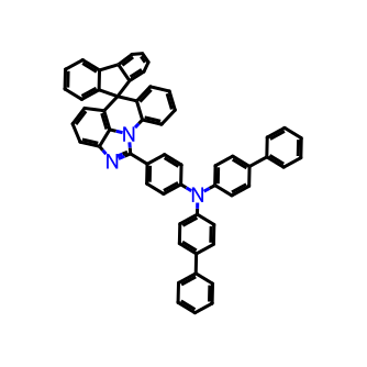 c1ccc(-c2ccc(N(c3ccc(-c4ccccc4)cc3)c3ccc(-c4nc5cccc6c5n4-c4ccccc4C64c5ccccc5-c5ccccc54)cc3)cc2)cc1